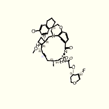 CO[C@H]1/C=C/C[C@H](C)[C@@H](C)S(=O)(NC(=O)CO[C@H]2CCOC[C@H]2F)=NC(=O)c2ccc3c(c2)N(C[C@@H]2CC[C@H]21)C[C@@]1(CCCc2cc(Cl)ccc21)CO3